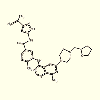 C=C(C)c1cc(NC(=O)c2ccc(C)c(Nc3ncnc4c(N)nc(N5CCN(CC6CCCO6)CC5)nc34)c2)[nH]n1